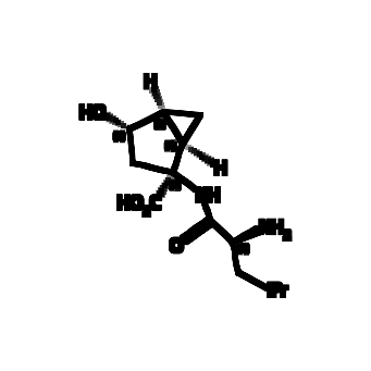 CC(C)C[C@H](N)C(=O)N[C@@]1(C(=O)O)C[C@H](O)[C@H]2C[C@H]21